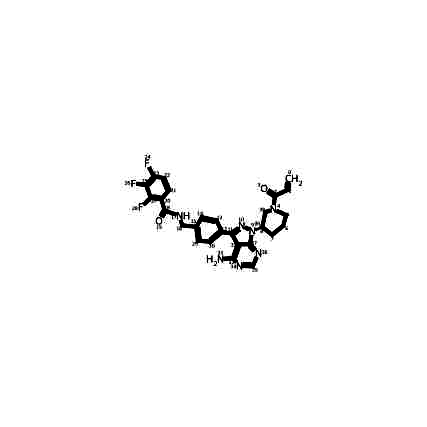 C=CC(=O)N1CCC[C@@H](n2nc(-c3ccc(CNC(=O)c4ccc(F)c(F)c4F)cc3)c3c(N)ncnc32)C1